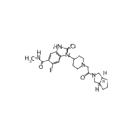 CNC(=O)c1cc2[nH]c(=O)n(C3CCN(CC(=O)N4C[C@H]5CCC[C@H]5C4)CC3)c2cc1F